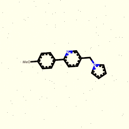 COc1ccc(-c2ccc(Cn3cccc3)cn2)cc1